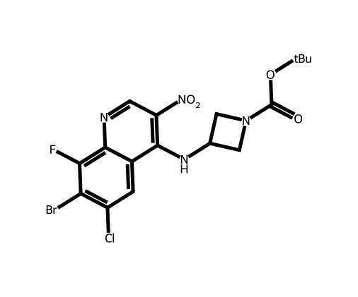 CC(C)(C)OC(=O)N1CC(Nc2c([N+](=O)[O-])cnc3c(F)c(Br)c(Cl)cc23)C1